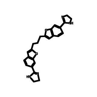 c1cc2cc(CCCc3cc4ccc(C5=NCCN5)cc4o3)oc2cc1C1=NCCN1